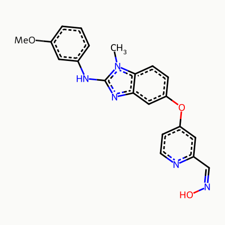 COc1cccc(Nc2nc3cc(Oc4ccnc(/C=N\O)c4)ccc3n2C)c1